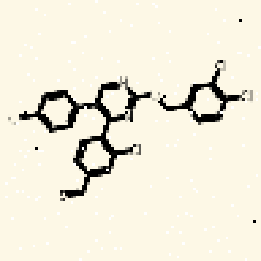 S=Cc1ccc(-c2nc(OCc3ccc(Cl)c(Cl)c3)ncc2-c2ccc(Cl)cc2)c(Cl)c1